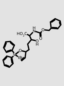 C=CC(CCC(O)C(NC(=O)OCc1ccccc1)C(=O)O)O[Si](c1ccccc1)(c1ccccc1)C(C)(C)C